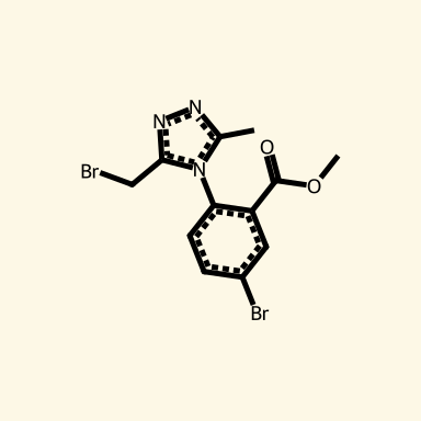 COC(=O)c1cc(Br)ccc1-n1c(C)nnc1CBr